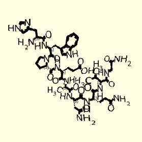 CC(C)[C@H](NC(=O)[C@H](CCC(N)=O)NC(=O)[C@H](CC(N)=O)NC(=O)[C@H](C)NC(=O)[C@H](CCC(=O)O)NC(=O)[C@@H]1CCCN1C(=O)[C@H](Cc1c[nH]c2ccccc12)NC(=O)[C@@H](N)Cc1c[nH]cn1)C(=O)NCC(N)=O